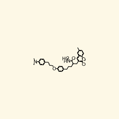 Cc1ccc2oc(=O)c(CC(CCCc3ccc(OCCCc4ccc(N(C)C)cc4)cc3)C(=O)NO)cc2c1